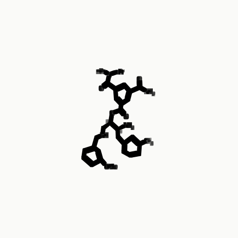 CCCN(CCC)C(=O)c1cc(C(N)=O)cc(C(=O)O[C@H](CNCc2cccc(OC)c2)[C@@H](N)Cc2cccc(C(F)(F)F)c2)c1